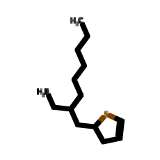 BCC(CCCCCC)CC1CC=CS1